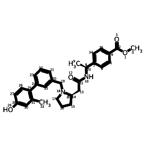 COC(=O)c1ccc([C@H](C)NC(=O)C[C@H]2CCCN2Cc2cccc(-c3ccc(O)cc3C)c2)cc1